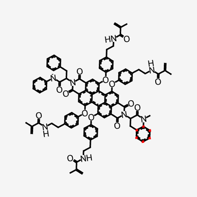 C=C(C)C(=O)NCCc1ccc(Oc2cc3c4c(cc(Oc5ccc(CCNC(=O)C(=C)C)cc5)c5c6c(Oc7ccc(CCNC(=O)C(=C)C)cc7)cc7c8c(cc(Oc9ccc(CCNC(=O)C(=C)C)cc9)c(c2c45)c86)C(=O)N(C(Cc2ccccc2)C(=O)N(C)c2ccccc2)C7=O)C(=O)N(C(Cc2ccccc2)C(=O)N(C)c2ccccc2)C3=O)cc1